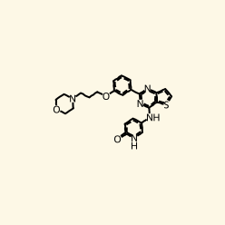 O=c1ccc(Nc2nc(-c3cccc(OCCCN4CCOCC4)c3)nc3ccsc23)c[nH]1